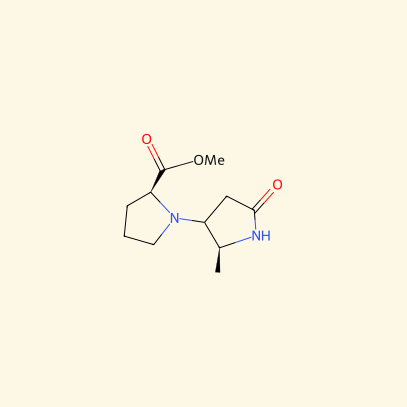 COC(=O)[C@@H]1CCCN1C1CC(=O)N[C@H]1C